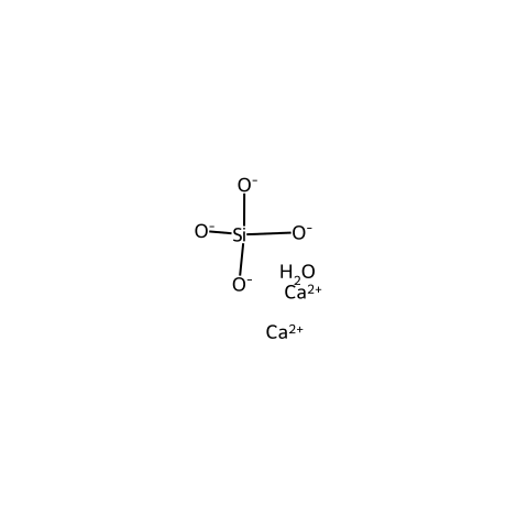 O.[Ca+2].[Ca+2].[O-][Si]([O-])([O-])[O-]